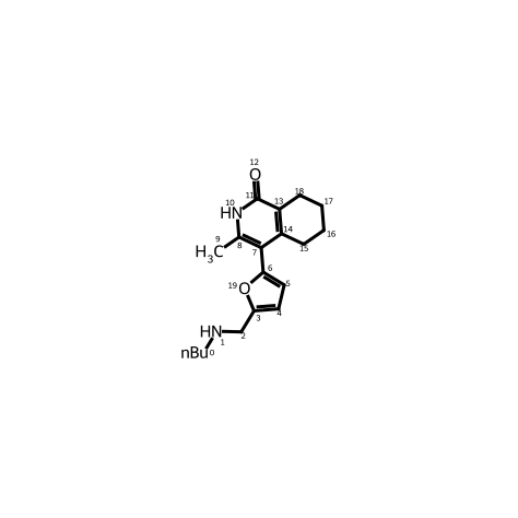 CCCCNCc1ccc(-c2c(C)[nH]c(=O)c3c2CCCC3)o1